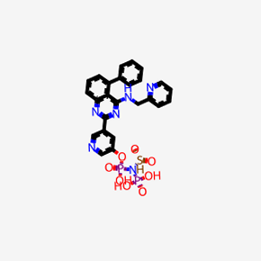 O=[SH](=O)N(P(=O)(O)O)P(=O)(O)Oc1cncc(-c2nc(NCc3ccccn3)c3c(-c4ccccc4)cccc3n2)c1